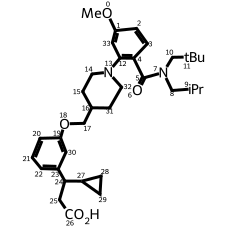 COc1ccc(C(=O)N(CC(C)C)CC(C)(C)C)c(N2CCC(COc3cccc(C(CC(=O)O)C4CC4)c3)CC2)c1